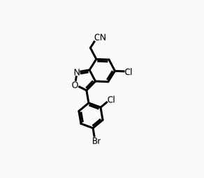 N#CCc1cc(Cl)cc2c(-c3ccc(Br)cc3Cl)onc12